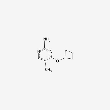 Cc1cnc(N)nc1OC1CCC1